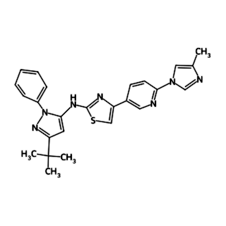 Cc1cn(-c2ccc(-c3csc(Nc4cc(C(C)(C)C)nn4-c4ccccc4)n3)cn2)cn1